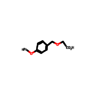 CCCOc1ccc(COCC(=O)O)cc1